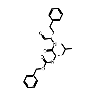 CC(C)C[C@H](NC(=O)OCc1ccccc1)C(=O)N[C@H](C=O)CCc1ccccc1